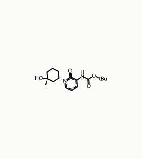 CC(C)(C)OC(=O)Nc1cccn([C@H]2CCC[C@@](C)(O)C2)c1=O